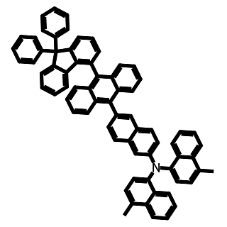 Cc1ccc(N(c2ccc3cc(-c4c5ccccc5c(-c5cccc6c5-c5ccccc5C6(c5ccccc5)c5ccccc5)c5ccccc45)ccc3c2)c2ccc(C)c3ccccc23)c2ccccc12